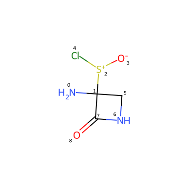 NC1([S+]([O-])Cl)CNC1=O